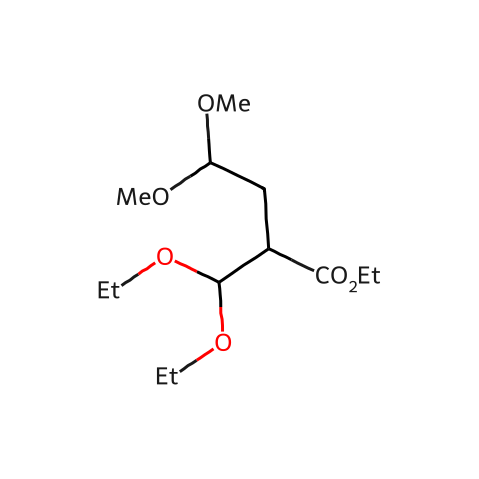 CCOC(=O)C(CC(OC)OC)C(OCC)OCC